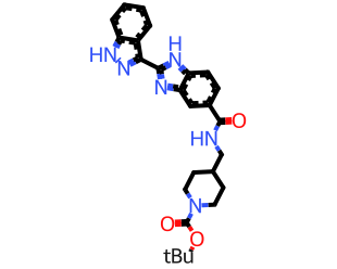 CC(C)(C)OC(=O)N1CCC(CNC(=O)c2ccc3[nH]c(-c4n[nH]c5ccccc45)nc3c2)CC1